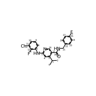 CC(C)c1cc(Nc2cccc(Cl)c2F)ncc1C(=O)NCc1ccc(F)cc1